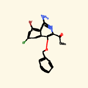 COC(=O)c1nc(N)c2c(Br)cc(Cl)cc2c1OCc1ccccc1